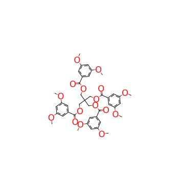 COc1cc(OC)cc(C(=O)OCC(COC(=O)c2cc(OC)cc(OC)c2)(COC(=O)c2cc(OC)cc(OC)c2)COC(=O)c2cc(OC)cc(OC)c2)c1